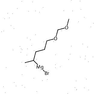 COCOCCC[CH](C)[Mg][Br]